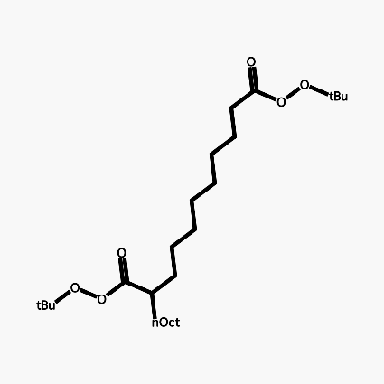 CCCCCCCCC(CCCCCCCCC(=O)OOC(C)(C)C)C(=O)OOC(C)(C)C